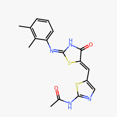 CC(=O)Nc1ncc(C=C2SC(=Nc3cccc(C)c3C)NC2=O)s1